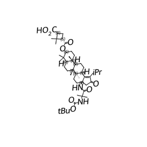 CC(C)C1=C2[C@H]3CC[C@@H]4[C@@]5(C)CC[C@H](OC(=O)[C@H]6C[C@@H](C(=O)O)C6(C)C)C(C)(C)[C@@H]5CC[C@@]4(C)[C@]3(C)CC[C@@]2(NC(=O)C(C)(C)NC(=O)OC(C)(C)C)CC1=O